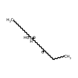 CCCCCCCC/C=C\CCCCCCCC(=O)CCCCCCCCCCC(=O)NC[C@@H](O)CCCCCCCCCCCCCCCC